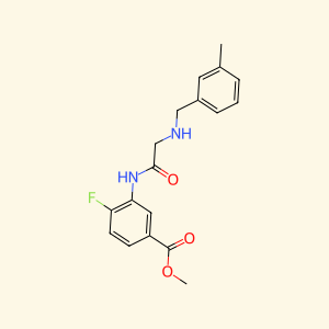 COC(=O)c1ccc(F)c(NC(=O)CNCc2cccc(C)c2)c1